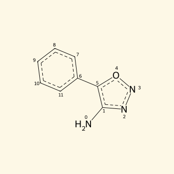 Nc1nnoc1-c1ccccc1